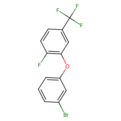 Fc1ccc(C(F)(F)F)cc1Oc1cccc(Br)c1